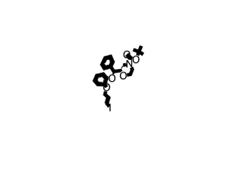 CC(C)(C)OC(=O)N1CCO[C@H]([C@@H](Oc2ccccc2OCC=CI)c2ccccc2)C1